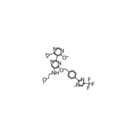 COCCNc1cnc(-c2c(OC)ncnc2C2CC2)nc1OCc1ccc(-c2nc(C(F)(F)F)cn2C)cc1